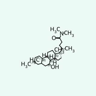 C[C@@H]1CC[C@]2(C)C(C1)C[C@@H](O)[C@@H]1[C@H]3CC[C@@H]([C@@H](C)CCC(=O)N(C)C)[C@]3(C)CC[C@H]12